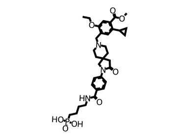 CCOc1cc(C(=O)OC)c(C2CC2)cc1CN1CCC2(CC1)CC(=O)N(c1ccc(C(=O)NCCCCP(=O)(O)O)cc1)C2